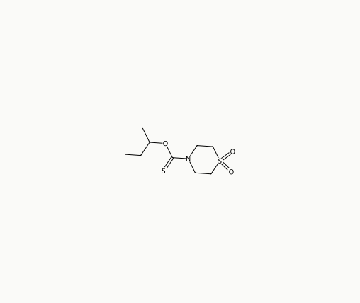 CCC(C)OC(=S)N1CCS(=O)(=O)CC1